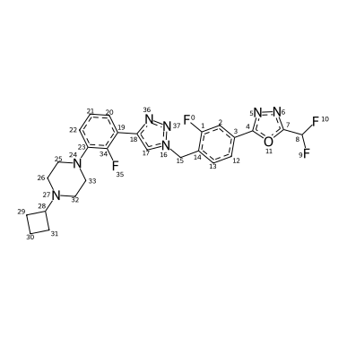 Fc1cc(-c2nnc(C(F)F)o2)ccc1Cn1cc(-c2cccc(N3CCN(C4CCC4)CC3)c2F)nn1